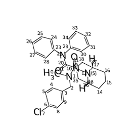 CN(Cc1ccc(Cl)cc1)C(=O)N1[C@@H]2CCC[C@H]1CN(C(=O)N(c1ccccc1)c1ccccc1)C2